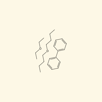 CCCCOCCCC.CCOCC.c1ccc(-c2ccccc2)cc1